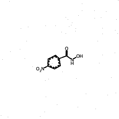 O=C(NO)c1ccc([N+](=O)[O-])cc1